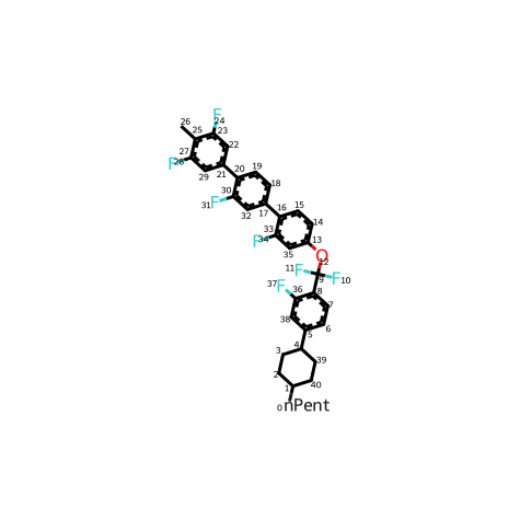 CCCCCC1CCC(c2ccc(C(F)(F)Oc3ccc(-c4ccc(-c5cc(F)c(C)c(F)c5)c(F)c4)c(F)c3)c(F)c2)CC1